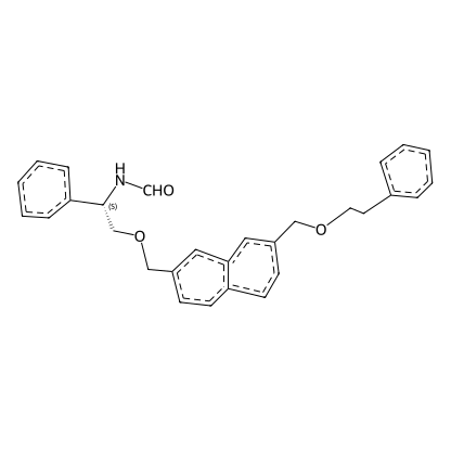 O=CN[C@H](COCc1ccc2ccc(COCCc3ccccc3)cc2c1)c1ccccc1